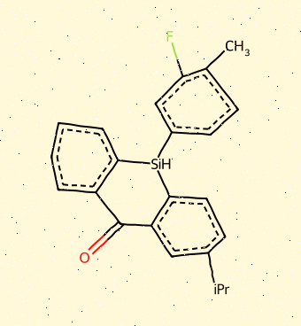 Cc1ccc([SiH]2c3ccccc3C(=O)c3cc(C(C)C)ccc32)cc1F